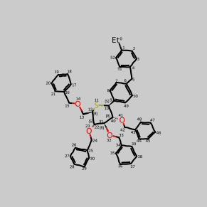 CCc1ccc(Cc2ccc([C@@H]3S[C@H](COCc4ccccc4)[C@@H](OCc4ccccc4)[C@H](OCc4ccccc4)[C@H]3OCc3ccccc3)cc2)cc1